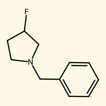 FC1CCN(Cc2c[c]ccc2)C1